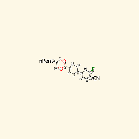 CCCCC[C@H]1CO[C@H](C2CCC(c3ccc(C#N)c(F)c3)CC2)OC1